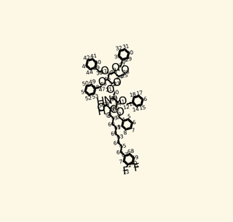 C[C@@H](OCc1ccccc1)[C@@H](OCc1ccccc1)[C@H](COC1OC2COC(c3ccccc3)OC2C(OCc2ccccc2)C1OCc1ccccc1)NC(=O)CCCCCCCCCCc1ccc(F)c(F)c1